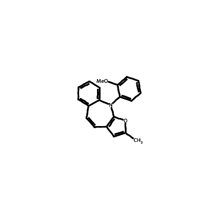 COc1ccccc1N1c2ccccc2C=Cc2cc(C)oc21